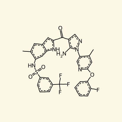 Cc1cc2cc(C(=O)c3cnn(-c4cnc(Oc5ccccc5F)cc4C)c3N)[nH]c2cc1NS(=O)(=O)c1cccc(C(F)(F)F)c1